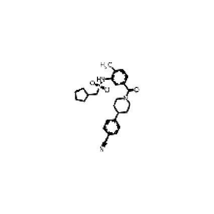 Cc1ccc(C(=O)N2CCC(c3ccc(C#N)cc3)CC2)cc1NS(=O)(=O)CC1CCCC1